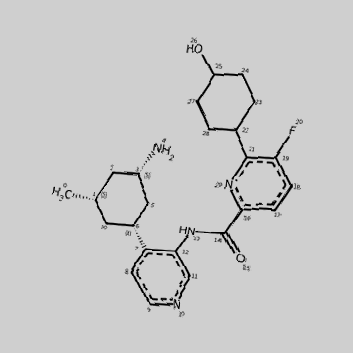 C[C@@H]1C[C@H](N)C[C@H](c2ccncc2NC(=O)c2ccc(F)c(C3CCC(O)CC3)n2)C1